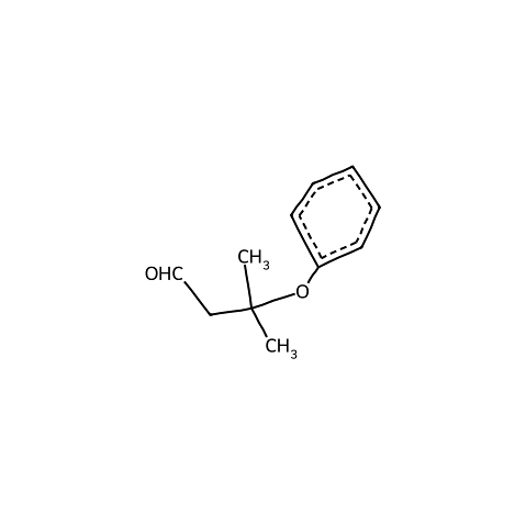 CC(C)(CC=O)Oc1ccccc1